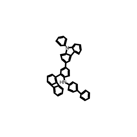 c1ccc(-c2ccc(Nc3ccc(-c4ccc5c(c4)c4ccccc4n5-c4ccccc4)cc3-c3cccc4c3-c3ccccc3-4)cc2)cc1